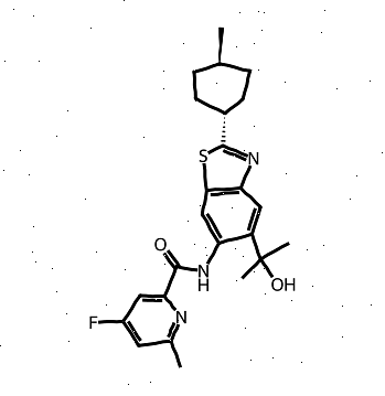 Cc1cc(F)cc(C(=O)Nc2cc3sc([C@H]4CC[C@H](C)CC4)nc3cc2C(C)(C)O)n1